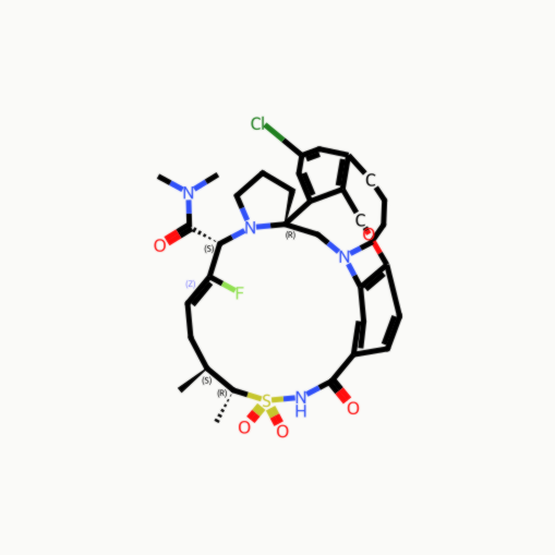 C[C@@H]1[C@@H](C)C/C=C(\F)[C@H](C(=O)N(C)C)N2CCC[C@@]23CN2CCCCc4cc(Cl)cc3c4COc3ccc(cc32)C(=O)NS1(=O)=O